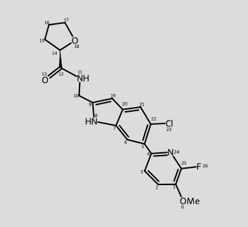 COc1ccc(-c2cc3[nH]c(CNC(=O)[C@H]4CCCO4)cc3cc2Cl)nc1F